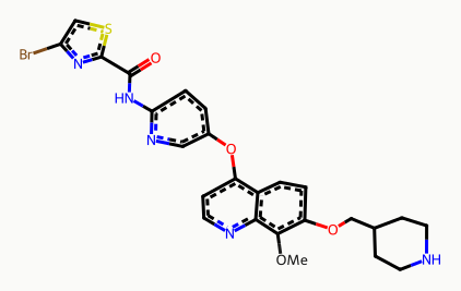 COc1c(OCC2CCNCC2)ccc2c(Oc3ccc(NC(=O)c4nc(Br)cs4)nc3)ccnc12